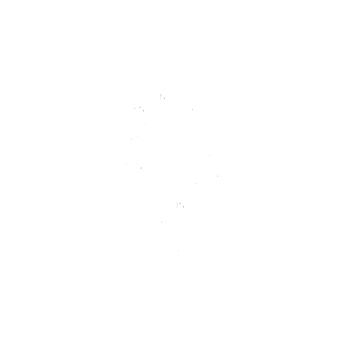 C.O=S(=O)=CCNCc1ccc(-c2ccc3ncnc(Cl)c3c2)o1